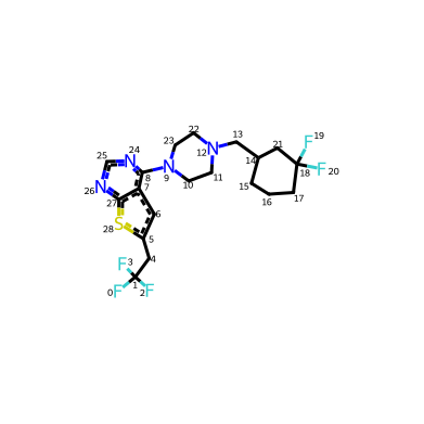 FC(F)(F)Cc1cc2c(N3CCN(CC4CCCC(F)(F)C4)CC3)ncnc2s1